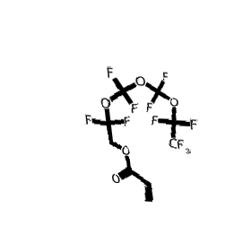 C=CC(=O)OCC(F)(F)OC(F)(F)OC(F)(F)OC(F)(F)C(F)(F)F